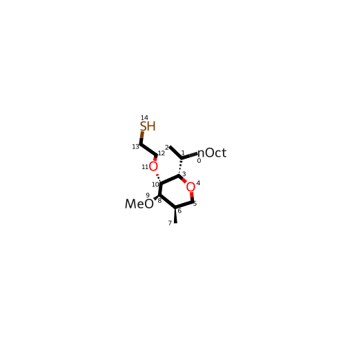 CCCCCCCCC(C)[C@@H]1OC[C@@H](C)[C@@H](OC)[C@@H]1OCCS